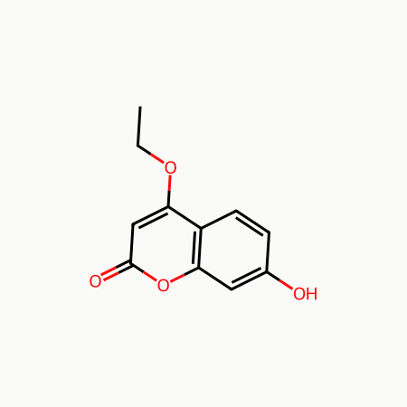 CCOc1cc(=O)oc2cc(O)ccc12